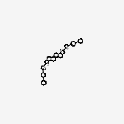 c1ccc(-c2ccc(-c3ccc(-c4cc5ccc6c7ccc8c(ccc9cc(-c%10ccc(-c%11ccc(-c%12ccccc%12)cc%11)s%10)sc98)c7ccc6c5s4)s3)cc2)cc1